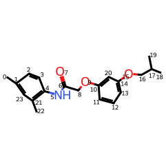 Cc1ccc(NC(=O)COc2cccc(OCC(C)C)c2)c(C)c1